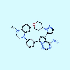 CC(=O)N1CCN(c2cccc(-c3cc(-c4ccnn4C4CCOCC4)c4c(N)ncnn34)c2)c2ccccc21